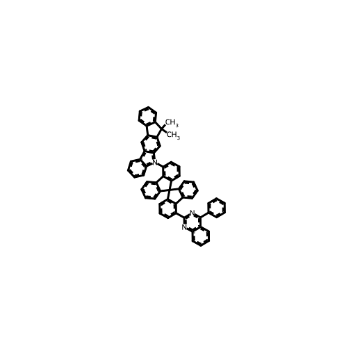 CC1(C)c2ccccc2-c2cc3c4ccccc4n(-c4cccc5c4-c4ccccc4C54c5ccccc5-c5c(-c6nc(-c7ccccc7)c7ccccc7n6)cccc54)c3cc21